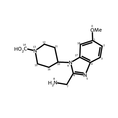 COc1ccc2nc(CN)n(C3CCN(C(=O)O)CC3)c2c1